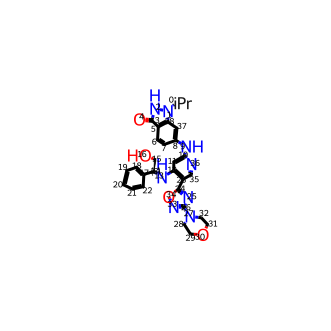 CC(C)n1[nH]c(=O)c2ccc(Nc3cc(N[C@H](CO)c4ccccc4)c(-c4nc(N5CCOCC5)no4)cn3)cc21